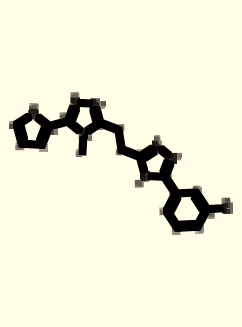 Cn1c(CCc2nnc(-c3cccc(Cl)c3)o2)nnc1-c1ccco1